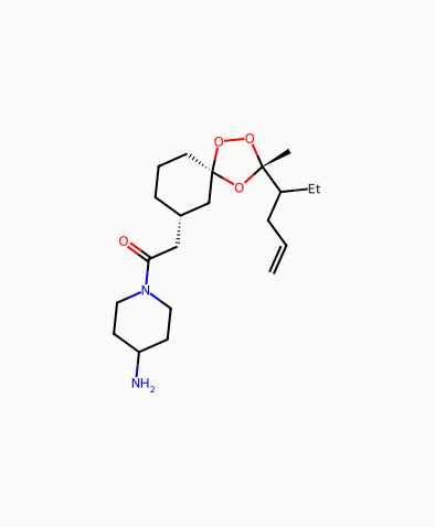 C=CCC(CC)[C@@]1(C)OO[C@@]2(CCC[C@@H](CC(=O)N3CCC(N)CC3)C2)O1